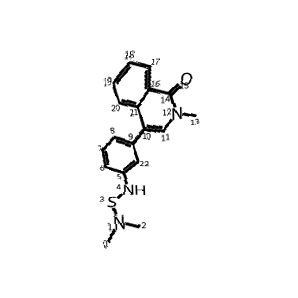 CN(C)SNc1cccc(-c2cn(C)c(=O)c3ccccc23)c1